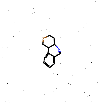 C1=NC2CCSCC2c2ccccc21